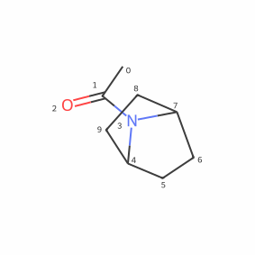 CC(=O)N1C2CCC1CC2